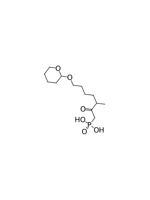 CC(CCCCOC1CCCCO1)C(=O)CP(=O)(O)O